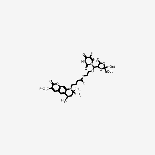 CCCCCCCCC1(CCCCCCCC)OC(C)C([C@@H](OCCOC(=O)CCCN2c3cc4oc(=O)c(C(=O)OCC)cc4cc3C(C)CC2(C)C)n2cc(F)c(=O)[nH]c2=O)O1